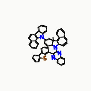 CC12C=C(n3c4ccccc4c4ccc5ccccc5c43)C=CC1N(c1nc3ccccc3nc1-c1cccc3c1sc1ccccc13)C1C#CC=c3ccccc3=C12